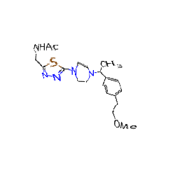 COCCc1ccc(C(C)N2CCN(c3nnc(CNC(C)=O)s3)CC2)cc1